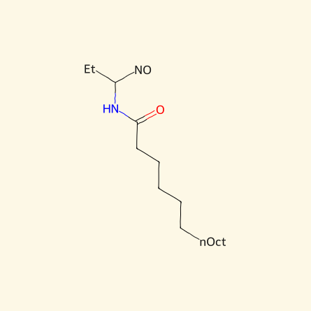 CCCCCCCCCCCCCC(=O)NC(CC)N=O